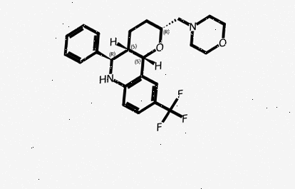 FC(F)(F)c1ccc2c(c1)[C@H]1O[C@@H](CN3CCOCC3)CC[C@H]1[C@H](c1ccccc1)N2